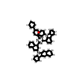 c1ccc(-c2ccc(-c3nc(-c4cc(-n5c6ccccc6c6cc7ccccc7cc65)cc5ccccc45)nc(-c4cccc5c6ccccc6n(-c6ccccc6)c45)n3)cc2)cc1